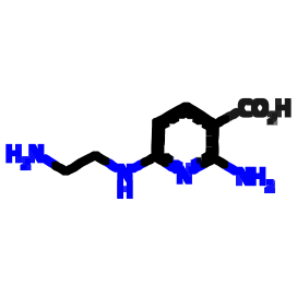 NCCNc1ccc(C(=O)O)c(N)n1